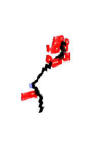 CCCCCC[C@@H](O)C/C=C\CCCCCCCC(=O)OC[C@H](O)[C@H]1OC(=O)C(O)=C1O